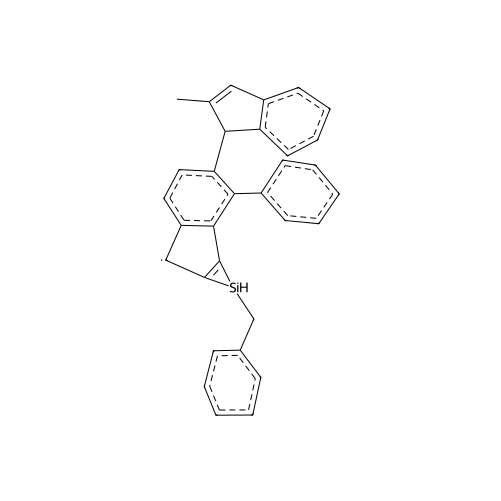 CC1=Cc2ccccc2C1c1ccc2c(c1-c1ccccc1)C1=C([CH]2)[SiH]1Cc1ccccc1